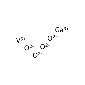 [Ga+3].[O-2].[O-2].[O-2].[O-2].[V+5]